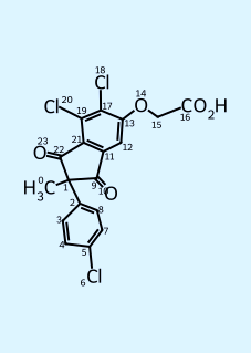 CC1(c2ccc(Cl)cc2)C(=O)c2cc(OCC(=O)O)c(Cl)c(Cl)c2C1=O